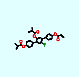 C=CC(=O)Oc1ccc(-c2cc(OC(=O)C(=C)C)c(-c3ccc(OC(=O)C(=C)C)cc3)cc2F)cc1